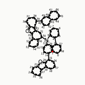 c1ccc(-c2ccccc2N(c2ccc(-c3cccc4c3oc3ccccc34)cc2)c2cc3c(oc4cccc(-c5ccc6ccccc6c5)c43)c3ccccc23)cc1